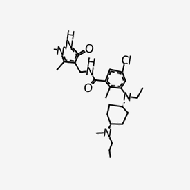 CCCN(C)[C@H]1CC[C@H](N(CC)c2cc(Cl)cc(C(=O)NCc3c(C)n(C)[nH]c3=O)c2C)CC1